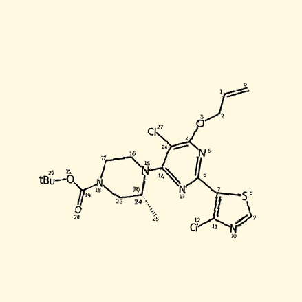 C=CCOc1nc(-c2scnc2Cl)nc(N2CCN(C(=O)OC(C)(C)C)C[C@H]2C)c1Cl